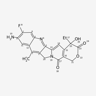 [CH2]c1c2c(nc3cc(F)c(N)cc13)-c1cc3c(c(=O)n1C2)COC(=O)C3(O)CC